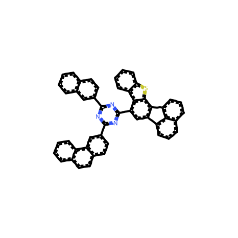 c1ccc2cc(-c3nc(-c4ccc5ccc6ccccc6c5c4)nc(-c4cc5c(c6sc7ccccc7c46)-c4cccc6cccc-5c46)n3)ccc2c1